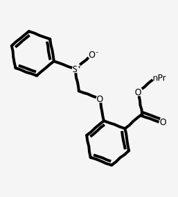 CCCOC(=O)c1ccccc1OC[S+]([O-])c1ccccc1